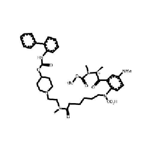 CNc1ccc(N(CCCCCC(=O)N(C)CCN2CCC(OC(=O)Nc3ccccc3-c3ccccc3)CC2)C(=O)O)c(C(=O)[C@H](C)N(C)C(=O)OC(C)(C)C)c1